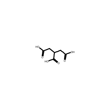 O=C(O)C[C](CC(=O)O)C(=O)O